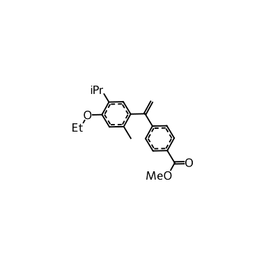 C=C(c1ccc(C(=O)OC)cc1)c1cc(C(C)C)c(OCC)cc1C